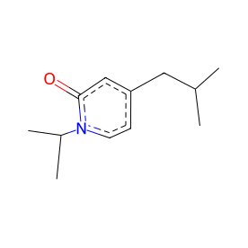 CC(C)Cc1ccn(C(C)C)c(=O)c1